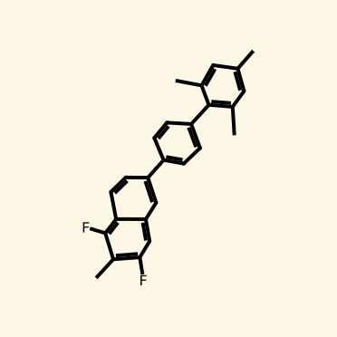 Cc1cc(C)c(-c2ccc(-c3ccc4c(F)c(C)c(F)cc4c3)cc2)c(C)c1